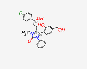 CN1C(=O)N(c2ccccc2)[C@H](c2ccc(CO)cc2O)[C@@H]1CC[C@H](O)c1ccc(F)cc1